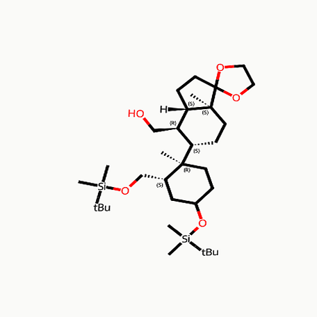 CC(C)(C)[Si](C)(C)OC[C@H]1CC(O[Si](C)(C)C(C)(C)C)CC[C@]1(C)[C@H]1CC[C@@]2(C)[C@@H](CCC23OCCO3)[C@@H]1CO